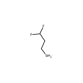 FC(F)CC[SiH2]